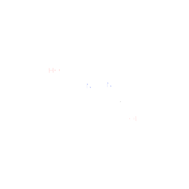 CC(C)(O)N=NCO